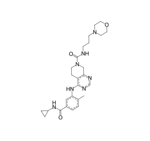 Cc1ccc(C(=O)NC2CC2)cc1Nc1ncnc2c1CCN(C(=O)NCCCN1CCOCC1)C2